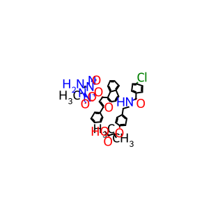 CC(C)(Oc1ccc(CCNC(=O)c2ccc(Cl)cc2)cc1)C(=O)O.CN(/C(N)=N/N=O)[N+](=O)[O-].O=c1cc(-c2ccccc2)oc2ccc3ccccc3c12